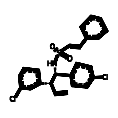 C=C[C@H](c1cccc(Cl)c1)[C@H](NS(=O)(=O)C=Cc1ccccc1)c1ccc(Cl)cc1